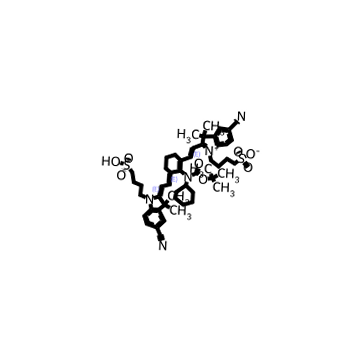 CC(C)(C)OC(=O)N(C1=C(/C=C/C2=[N+](CCCCS(=O)(=O)[O-])c3ccc(C#N)cc3C2(C)C)CCC/C1=C\C=C1\N(CCCCS(=O)(=O)O)c2ccc(C#N)cc2C1(C)C)C1CCCCC1